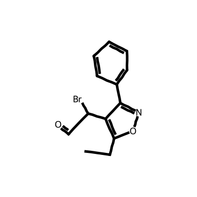 CCc1onc(-c2ccccc2)c1C(Br)C=O